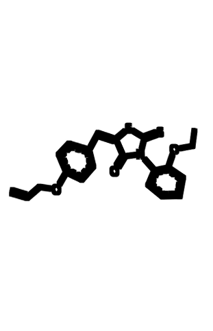 C=CCOc1ccc(C=C2SC(=S)N(c3ccccc3OCC)C2=O)cc1